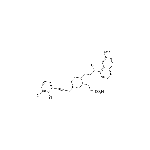 COc1ccc2nccc([C@@H](O)CCC3CCN(CC#Cc4cccc(Cl)c4Cl)CC3CCC(=O)O)c2c1